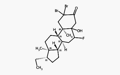 CC[C@H]1CC[C@H]2[C@@H]3CC(F)C4(O)CC(=O)C(Br)(Br)C[C@]4(C)[C@H]3CC[C@]12C